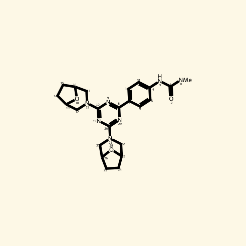 CNC(=O)Nc1ccc(-c2nc(N3CC4CCC(C3)O4)nc(N3CC4CCC(C3)O4)n2)cc1